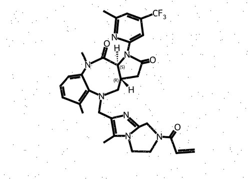 C=CC(=O)N1CCn2c(nc(CN3C[C@H]4CC(=O)N(c5cc(C(F)(F)F)cc(C)n5)[C@@H]4C(=O)N(C)c4cccc(C)c43)c2C)C1